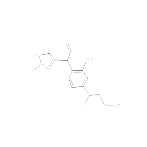 CCC(CCNC)c1ccc(C(C=N)C2=CN(C)NC2)c(NC)c1